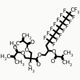 C=C(C)C(=O)OCC(C)(COC(=O)C(=C)C)C(=O)OCC(CC(F)(F)C(F)(F)C(F)(F)C(F)(F)C(F)(F)C(F)(F)C(F)(F)C(F)(F)F)OC(=O)C(=C)C